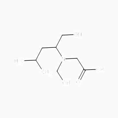 CC(C)CC(CO)N(CO)CC(=O)O